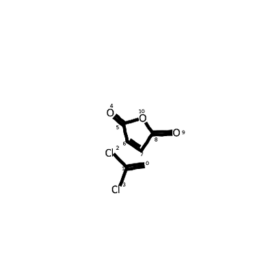 C=C(Cl)Cl.O=C1C=CC(=O)O1